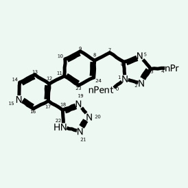 CCCCCn1nc(CCC)nc1Cc1ccc(-c2ccncc2-c2nnn[nH]2)cc1